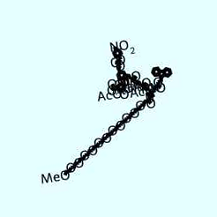 COCCOCCOCCOCCOCCOCCOCCOCCOCCOCCOCCOCCC(=O)N1CC(CNC(=O)OCC2c3ccccc3-c3ccccc32)(OCC(=O)NCCC(=O)NCc2cc(COC(=O)Oc3ccc([N+](=O)[O-])cc3)ccc2O[C@@H]2O[C@H](C(=O)OC)[C@@H](OC(C)=O)[C@H](OC(C)=O)[C@H]2OC(C)=O)C1